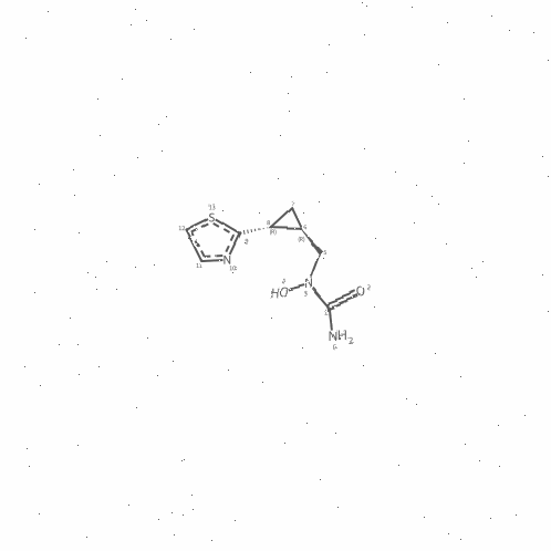 NC(=O)N(O)C[C@@H]1C[C@H]1c1nccs1